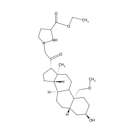 CCOC(=O)C1CCN(CC(=O)[C@H]2CC[C@H]3[C@@H]4CC[C@H]5C[C@H](O)CC[C@]5(COC)C4CC[C@]23C)N1